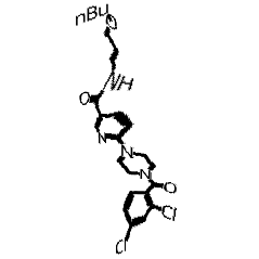 CCCCOCCCNC(=O)c1ccc(N2CCN(C(=O)c3ccc(Cl)cc3Cl)CC2)nc1